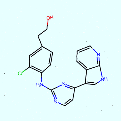 OCCc1ccc(Nc2nccc(-c3c[nH]c4ncccc34)n2)c(Cl)c1